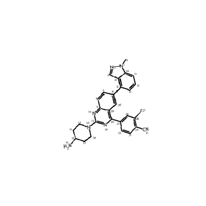 Cn1ncc2c(-c3ccc4nc(N5CCC(N)CC5)nc(-c5ccc(C#N)c(F)c5)c4c3)cccc21